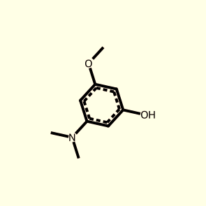 COc1cc(O)cc(N(C)C)c1